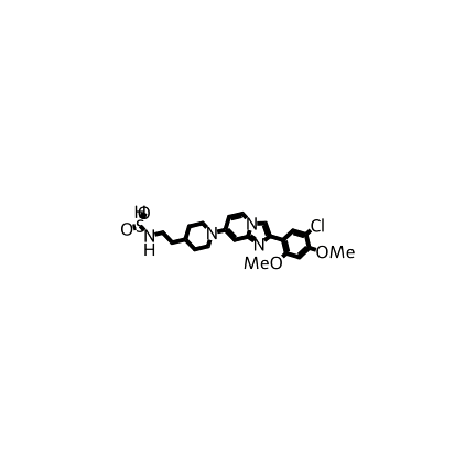 COc1cc(OC)c(-c2cn3ccc(N4CCC(CCN[SH](=O)=O)CC4)cc3n2)cc1Cl